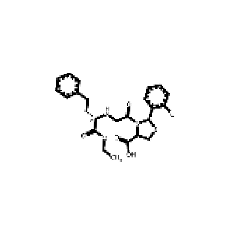 CCOC(=O)[C@H](CCc1ccccc1)NCC(=O)N1C(C(=O)O)CSC1c1ccccc1O